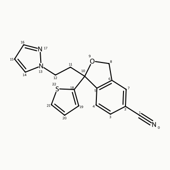 N#Cc1ccc2c(c1)COC2(CCn1cccn1)c1cccs1